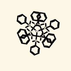 C[Si](C)(c1ccccc1)[C]([Cr]([C]([Si](C)(C)c1ccccc1)([Si](C)(C)c1ccccc1)[Si](C)(C)c1ccccc1)[C]([Si](C)(C)c1ccccc1)([Si](C)(C)c1ccccc1)[Si](C)(C)c1ccccc1)([Si](C)(C)c1ccccc1)[Si](C)(C)c1ccccc1